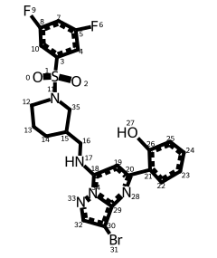 O=S(=O)(c1cc(F)cc(F)c1)N1CCCC(CNc2cc(-c3ccccc3O)nc3c(Br)cnn23)C1